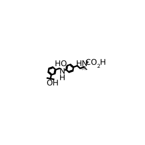 C[C@@H](CCc1ccc(NCc2cccc(C(C)(C)O)c2)c(O)c1)NC(=O)O